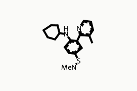 CNSc1ccc(NC2CCCCC2)c(-c2ncccc2C)c1